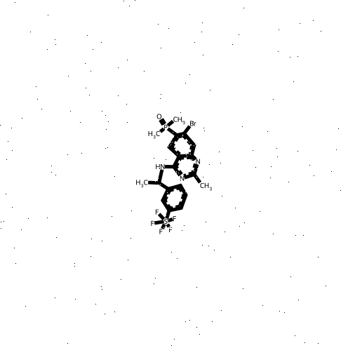 Cc1nc(NC(C)c2cccc(S(F)(F)(F)(F)F)c2)c2cc(P(C)(C)=O)c(Br)cc2n1